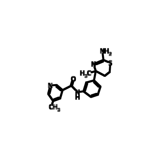 Cc1cncc(C(=O)Nc2cccc(C3(C)CCSC(N)=N3)c2)c1